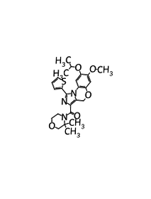 COc1cc2c(cc1OC(C)C)-n1c(-c3cccs3)nc(C(=O)N3CCOCC3(C)C)c1CO2